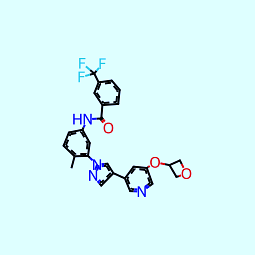 Cc1ccc(NC(=O)c2cccc(C(F)(F)F)c2)cc1-n1cc(-c2cncc(OC3COC3)c2)cn1